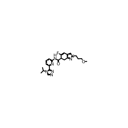 COCCCn1cc2c(n1)CC(C(=O)Nc1cccc(-c3nncn3C(C)C)n1)C(F)=C2